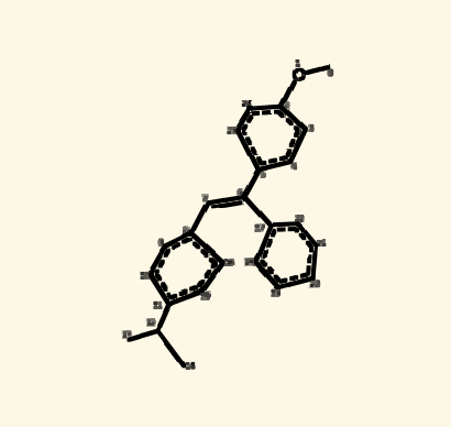 COc1ccc(/C(=C/c2ccc(C(C)C)cc2)c2ccccc2)cc1